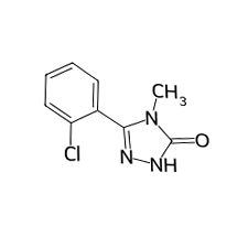 Cn1c(-c2ccccc2Cl)n[nH]c1=O